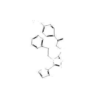 COc1ccc(C(=O)CSc2nnc(-c3ccco3)n2CCc2ccccc2)cc1